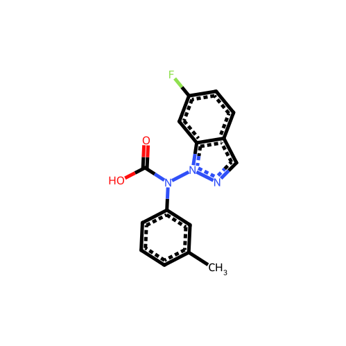 Cc1cccc(N(C(=O)O)n2ncc3ccc(F)cc32)c1